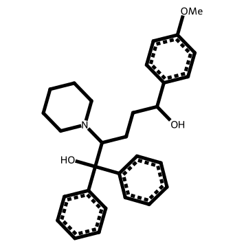 COc1ccc(C(O)CCC(N2CCCCC2)C(O)(c2ccccc2)c2ccccc2)cc1